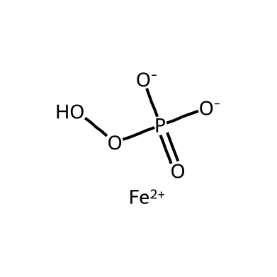 O=P([O-])([O-])OO.[Fe+2]